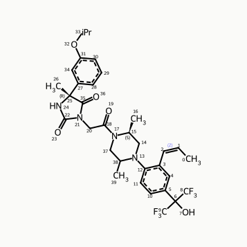 C/C=C\c1cc(C(O)(C(F)(F)F)C(F)(F)F)ccc1N1C[C@H](C)N(C(=O)CN2C(=O)N[C@](C)(c3cccc(OC(C)C)c3)C2=O)CC1C